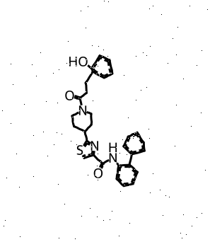 O=C(Nc1ccccc1-c1ccccc1)c1csc(C2CCN(C(=O)CCc3ccccc3O)CC2)n1